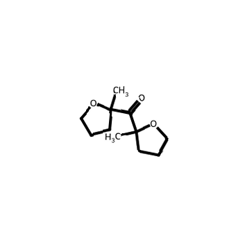 CC1(C(=O)C2(C)CCCO2)CCCO1